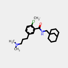 CN(C)CCCc1ccc(Cl)c(C(=O)NCC23CCCC(CCC2)C3)c1.[CH2]